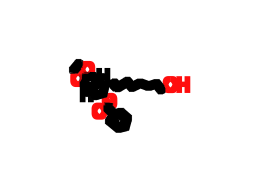 O=C(O[C@@H]1C[C@@H]2CC3(C[C@@H]2[C@H]1/C=C/CCCCCCO)OCCO3)c1ccccc1